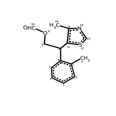 Cc1ccccc1C(COC=O)c1scnc1C